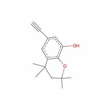 C#Cc1cc(O)c2c(c1)C(C)(C)CC(C)(C)O2